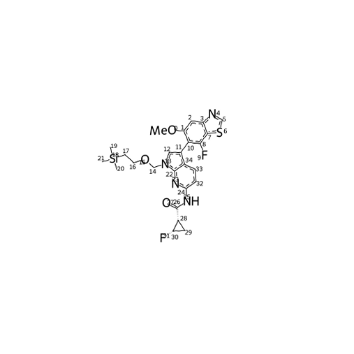 COc1cc2ncsc2c(F)c1-c1cn(COCC[Si](C)(C)C)c2nc(NC(=O)[C@@H]3C[C@@H]3F)ccc12